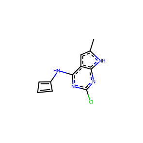 Cc1cc2c(NC3=CC=C3)nc(Cl)nc2[nH]1